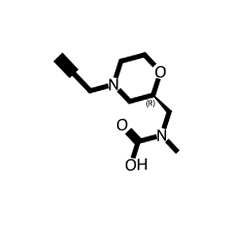 C#CCN1CCO[C@@H](CN(C)C(=O)O)C1